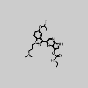 CCNC(=O)Oc1c[nH]c2ncc(-c3nn(CCCN(C)C)c4ccc(OC(F)F)cc34)nc12